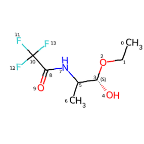 CCO[C@H](O)C(C)NC(=O)C(F)(F)F